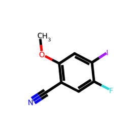 COc1cc(I)c(F)cc1C#N